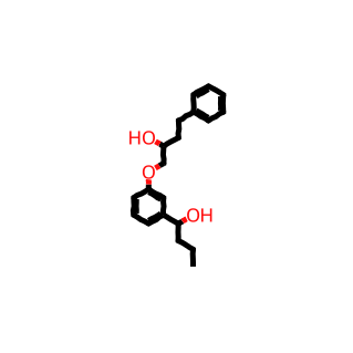 CCCC(O)c1cccc(OCC(O)CCc2ccccc2)c1